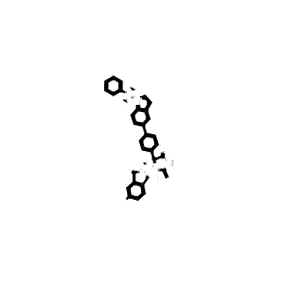 C=C1NC(=O)[C@](CN2Cc3ccc(F)cc3C2=O)(c2ccc(-c3ccc4c(ccn4S(=O)(=O)c4ccccc4)c3)cc2)N1